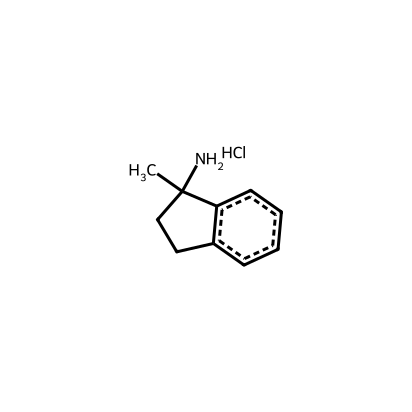 CC1(N)CCc2ccccc21.Cl